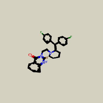 O=c1c2ccccc2[nH]c(=S)n1CCN1CCCCC1=C(c1ccc(F)cc1)c1ccc(F)cc1